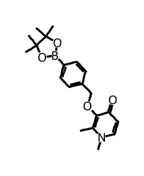 Cc1c(OCc2ccc(B3OC(C)(C)C(C)(C)O3)cc2)c(=O)ccn1C